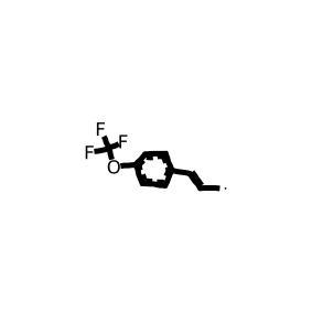 [CH2]C=Cc1ccc(OC(F)(F)F)cc1